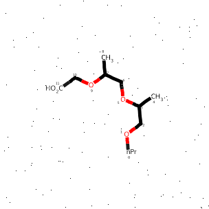 CCCOCC(C)OCC(C)OCC(=O)O